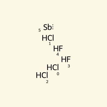 Cl.Cl.Cl.F.F.[Sb]